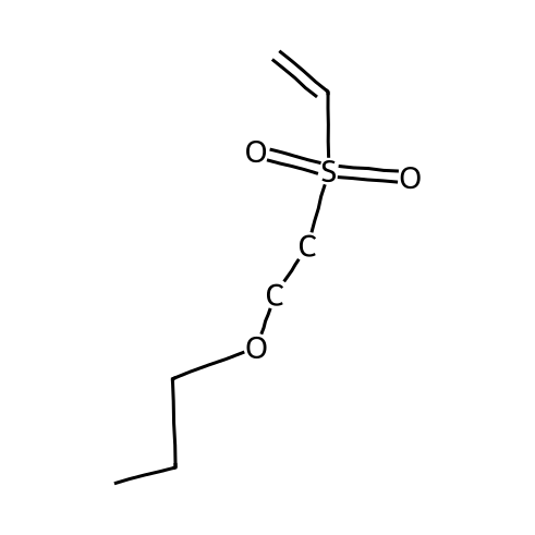 C=CS(=O)(=O)CCOCCC